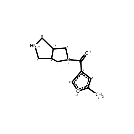 Cc1cc(C(=O)N2CC3CNCC3C2)co1